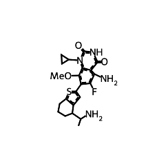 COc1c(-c2cc3c(s2)CCCC3C(C)N)c(F)c(N)c2c(=O)[nH]c(=O)n(C3CC3)c12